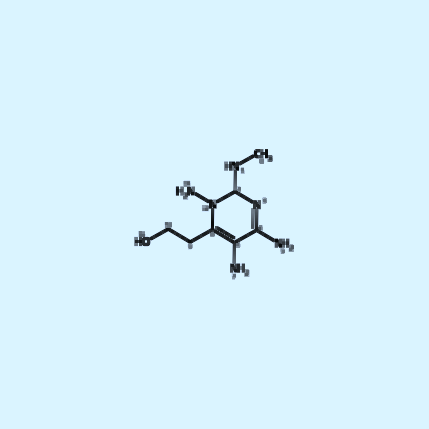 CNC1N=C(N)C(N)=C(CCO)N1N